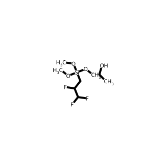 CCO.CO[Si](CC(F)C(F)F)(OC)OC